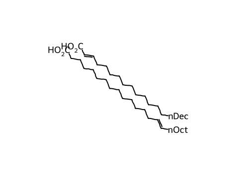 CCCCCCCCC=CCCCCCCCCCCCCCC(=O)O.CCCCCCCCCCCCCCCCCCCCCC=CC(=O)O